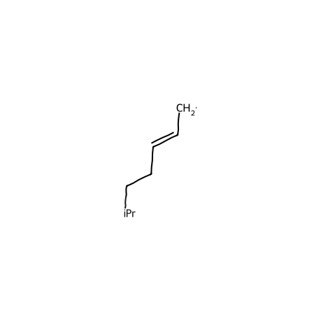 [CH2]C=CCCC(C)C